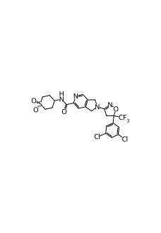 O=C(NC1CCS(=O)(=O)CC1)c1cc2c(cn1)CN(C1=NOC(c3cc(Cl)cc(Cl)c3)(C(F)(F)F)C1)C2